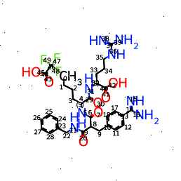 CCCC[C@H](NC(=O)C(Cc1ccc(C(=N)N)cc1)C(=O)NCc1ccccc1)C(=O)N[C@@H](CCCNC(=N)N)C(=O)O.O=C(O)C(F)(F)F